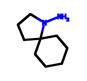 NN1CCCC12CCCCC2